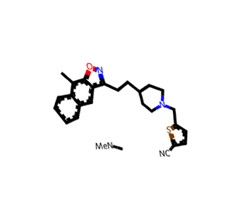 CNC.Cc1c2ccccc2cc2c(CCC3CCN(Cc4ccc(C#N)s4)CC3)noc12